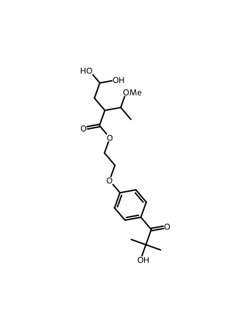 COC(C)C(CC(O)O)C(=O)OCCOc1ccc(C(=O)C(C)(C)O)cc1